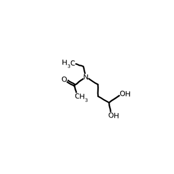 CCN(CCC(O)O)C(C)=O